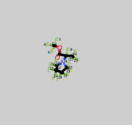 O=C(OC(F)(F)F)C(F)(N1C(F)(F)C(F)(F)C(F)(F)C1(F)F)C(F)(F)F